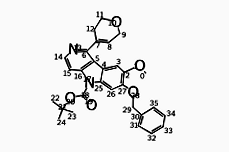 COc1cc2c3c(C4=CCOCC4)nccc3n(C(=O)OC(C)(C)C)c2cc1OCc1ccccc1